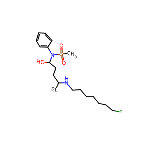 CCC(CCC(O)N(c1ccccc1)S(C)(=O)=O)NCCCCCCCF